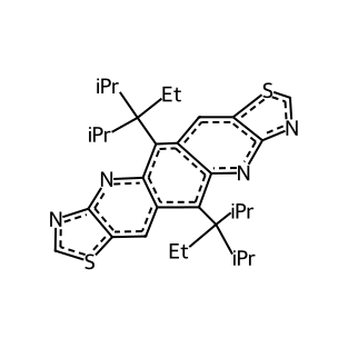 CCC(c1c2cc3scnc3nc2c(C(CC)(C(C)C)C(C)C)c2cc3scnc3nc12)(C(C)C)C(C)C